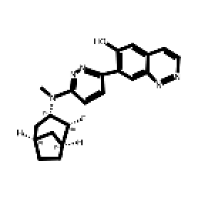 CN(c1ccc(-c2cc3nnccc3cc2O)nn1)[C@H]1C[C@@H]2CC[C@@H](C2)[C@H]1F